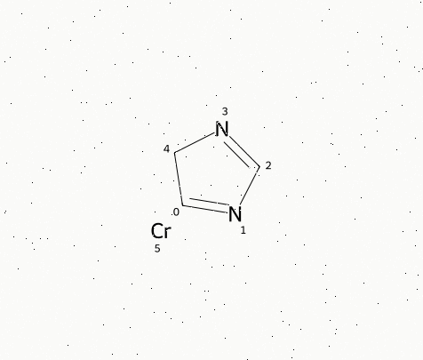 C1=NC=NC1.[Cr]